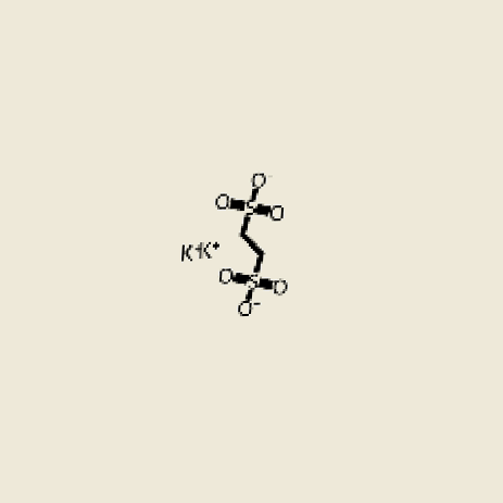 O=S(=O)([O-])CCS(=O)(=O)[O-].[K+].[K+]